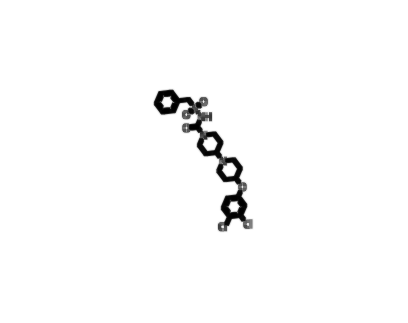 O=C(NS(=O)(=O)Cc1ccccc1)N1CCC(N2CCC(Oc3ccc(Cl)c(Cl)c3)CC2)CC1